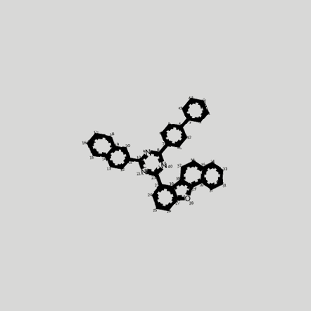 c1ccc(-c2ccc(-c3nc(-c4ccc5ccccc5c4)nc(-c4cccc5oc6c7ccccc7ccc6c45)n3)cc2)cc1